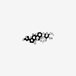 CO[C@H]1[C@H](O)[C@H](O[C@H]2CC[C@]3(C)C4CC[C@]5(C)C(C6=CC(=O)OC6)CC[C@]5(O)C4CC[C@@H]3C2)O[C@@H](C)[C@@H]1O